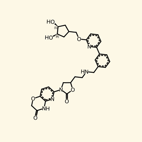 O=C1COc2ccc(N3CC(CCNCc4cccc(-c5cccc(OCC6C[C@@H](O)[C@@H](O)C6)n5)c4)OC3=O)nc2N1